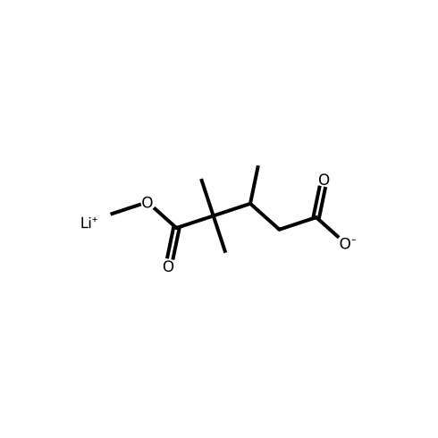 COC(=O)C(C)(C)C(C)CC(=O)[O-].[Li+]